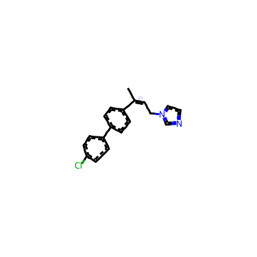 C/C(=C/Cn1ccnc1)c1ccc(-c2ccc(Cl)cc2)cc1